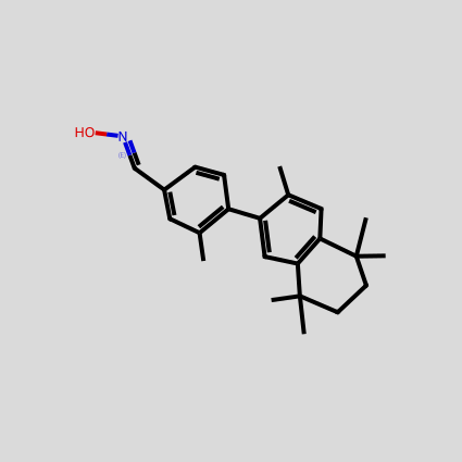 Cc1cc(/C=N/O)ccc1-c1cc2c(cc1C)C(C)(C)CCC2(C)C